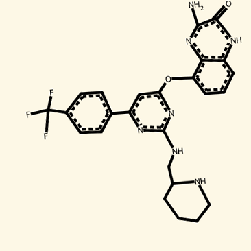 Nc1nc2c(Oc3cc(-c4ccc(C(F)(F)F)cc4)nc(NCC4CCCCN4)n3)cccc2[nH]c1=O